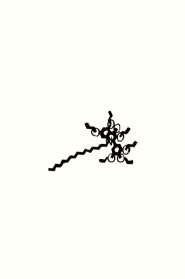 C=CCOc1cc(OCC=C)c2c(=O)c(OCC=C)c(-c3cc(OCC=C)c(OCC=C)c(OCC=C)c3)n(CCCCCCCCCCCCCCCC)c2c1